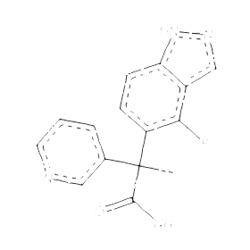 CC(C(N)=O)(c1cccnc1)c1ccc2[nH]ncc2c1F